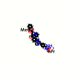 CCCOC(=O)/N=C(\N)c1ccc(NCc2nc3cc(C(=O)N(CCC(=O)Oc4ccccc4OC)c4ccccn4)ccc3n2C)cc1